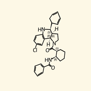 O=C(N[C@@H]1CCCC[C@@H]1C(=O)N1CC[C@@H]2[C@H](C3C=CC=CC3)Nc3ccc(Cl)cc3[C@@H]21)c1ccccc1